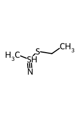 CCS[SH](C)#N